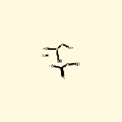 O=C(O)OO.OOB(O)O.[NaH]